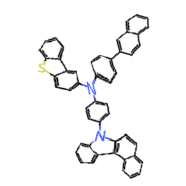 c1ccc2cc(-c3ccc(N(c4ccc(-n5c6ccccc6c6c7ccccc7ccc65)cc4)c4ccc5sc6ccccc6c5c4)cc3)ccc2c1